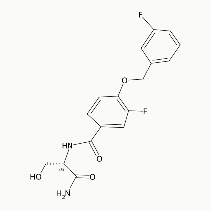 NC(=O)[C@H](CO)NC(=O)c1ccc(OCc2cccc(F)c2)c(F)c1